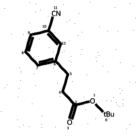 CC(C)(C)OC(=O)CCc1cccc(C#N)c1